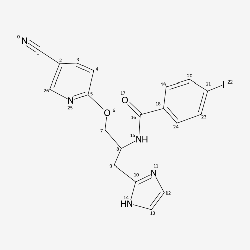 N#Cc1ccc(OCC(Cc2ncc[nH]2)NC(=O)c2ccc(I)cc2)nc1